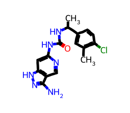 Cc1cc(C(C)NC(=O)Nc2cc3[nH]nc(N)c3cn2)ccc1Cl